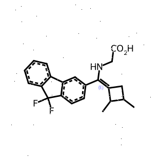 CC1C/C(=C(\NCC(=O)O)c2ccc3c(c2)-c2ccccc2C3(F)F)C1C